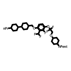 CCCCCC1CCC(OCC(F)(F)Oc2ccc(OCC3CCC(C4CCC(CCC)CC4)CC3)c(C(F)F)c2F)CC1